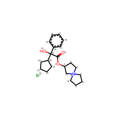 O=C(OC1CC[N+]2(CCCC2)C1)C(O)(c1ccccc1)C1CCCC1.[Br-]